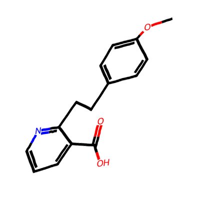 COc1ccc(CCc2ncccc2C(=O)O)cc1